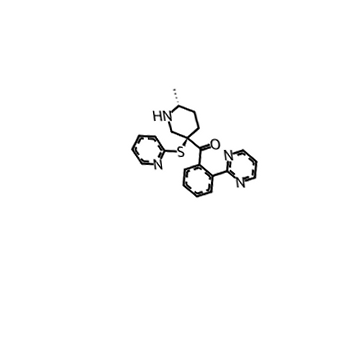 C[C@@H]1CC[C@](Sc2ccccn2)(C(=O)c2ccccc2-c2ncccn2)CN1